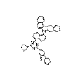 c1ccc(-c2nc(-c3ccc4c(c3)sc3ccccc34)nc(-c3cccc4c(-n5c6cc7ccccc7cc6c6c7ccccc7ccc65)cccc34)n2)cc1